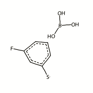 Fc1cccc([S])c1.OB(O)O